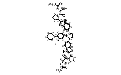 COC(=O)NC(C(=O)N1CCCC1c1nc2cc([C@H]3CCC(c4ccc5[nH]c(C6CCCN6C(=O)[C@@](C)(OC(N)=O)C(C)C)nc5c4)N3c3ccc(N4CCCCC4)c(C(F)(F)F)c3)ccc2[nH]1)C(C)C